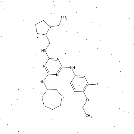 CCOc1ccc(Nc2nc(NCC3CCCN3CC)nc(NC3CCCCCC3)n2)cc1F